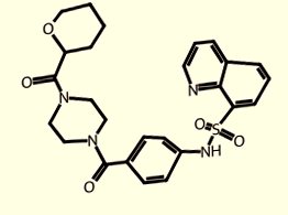 O=C(c1ccc(NS(=O)(=O)c2cccc3cccnc23)cc1)N1CCN(C(=O)C2CCCCO2)CC1